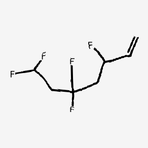 C=CC(F)CC(F)(F)CC(F)F